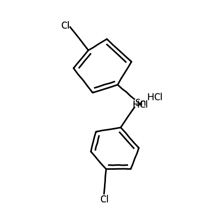 Cl.Cl.Clc1cc[c]([Sn][c]2ccc(Cl)cc2)cc1